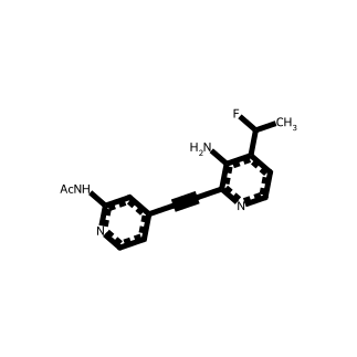 CC(=O)Nc1cc(C#Cc2nccc(C(C)F)c2N)ccn1